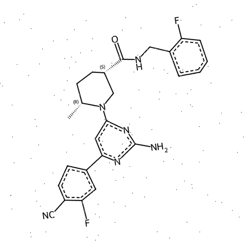 C[C@@H]1CC[C@H](C(=O)NCc2ccccc2F)CN1c1cc(-c2ccc(C#N)c(F)c2)nc(N)n1